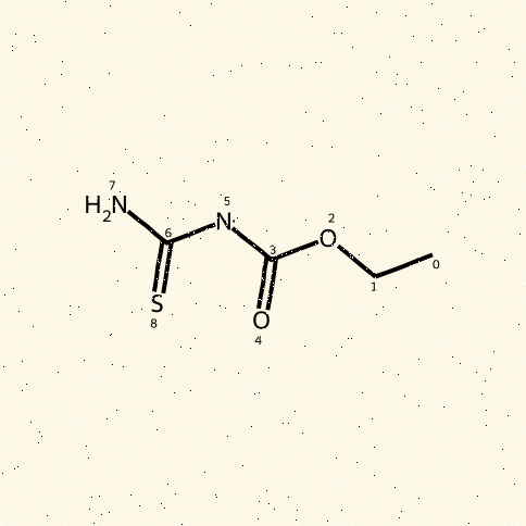 CCOC(=O)[N]C(N)=S